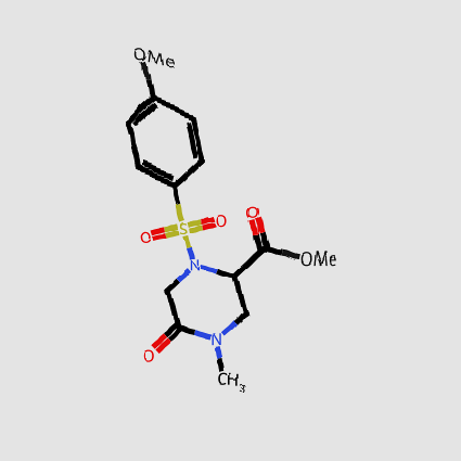 COC(=O)C1CN(C)C(=O)CN1S(=O)(=O)c1ccc(OC)cc1